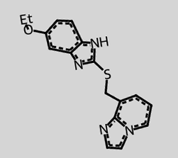 CCOc1ccc2[nH]c(SCc3cccn4ccnc34)nc2c1